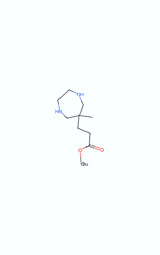 CC1(CCC(=O)OC(C)(C)C)CNCCNC1